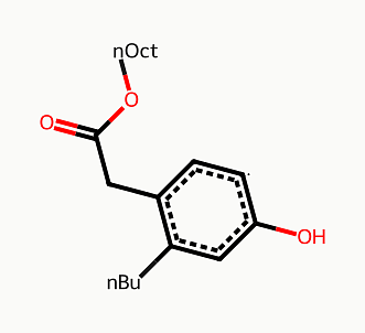 CCCCCCCCOC(=O)Cc1c[c]c(O)cc1CCCC